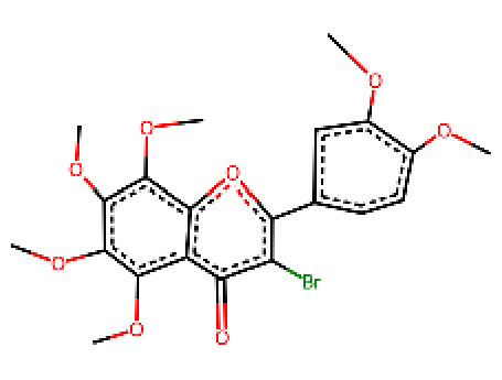 COc1ccc(-c2oc3c(OC)c(OC)c(OC)c(OC)c3c(=O)c2Br)cc1OC